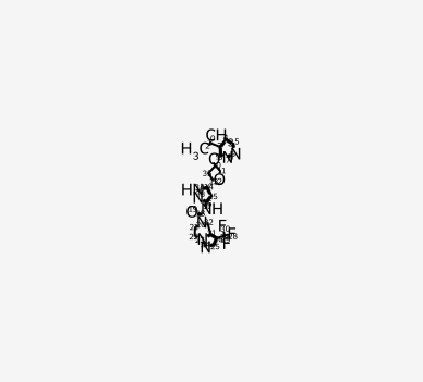 CC(C)c1ccnnc1O[C@@H]1CO[C@H](c2cc(NC(=O)N3CCn4ncc(C(F)(F)F)c4C3)n[nH]2)C1